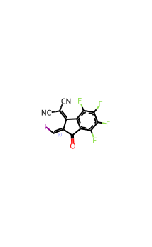 N#CC(C#N)=C1/C(=C\I)C(=O)c2c(F)c(F)c(F)c(F)c21